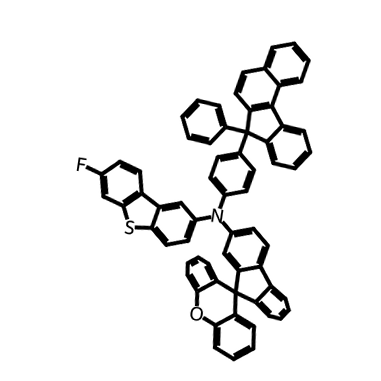 Fc1ccc2c(c1)sc1ccc(N(c3ccc(C4(c5ccccc5)c5ccccc5-c5c4ccc4ccccc54)cc3)c3ccc4c(c3)C3(c5ccccc5Oc5ccccc53)c3ccccc3-4)cc12